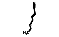 CCOC/C=C/C#N